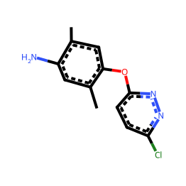 Cc1cc(Oc2ccc(Cl)nn2)c(C)cc1N